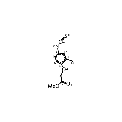 COC(=O)COc1ccc(N=C=S)cc1C